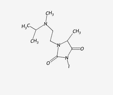 CC(C)N(C)CCN1C(=O)N(I)C(=O)C1C